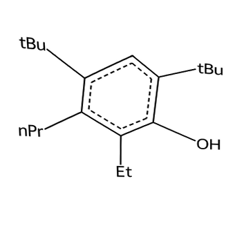 CCCc1c(C(C)(C)C)cc(C(C)(C)C)c(O)c1CC